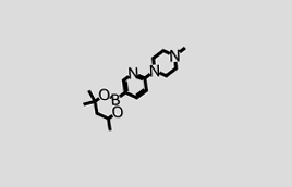 CC1CC(C)(C)OB(c2ccc(N3CCN(C)CC3)nc2)O1